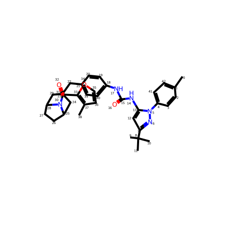 Cc1ccc(-n2nc(C(C)(C)C)cc2NC(=O)Nc2ccc(CC3CC4CCC(C3)N4C(=O)c3occc3C)cc2)cc1